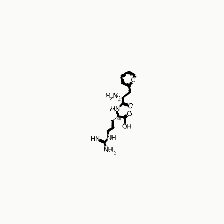 N=C(N)NCCC[C@H](NC(=O)[C@H](N)Cc1ccccc1)C(=O)O